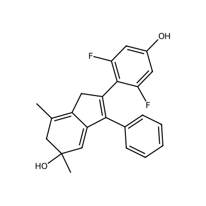 CC1=C2CC(c3c(F)cc(O)cc3F)=C(c3ccccc3)C2=CC(C)(O)C1